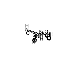 CNC(=O)CCCCCC(NC(=O)C12CCN(CC1)CC2)c1ncc(-c2cc3ccccc3[nH]c2=O)[nH]1